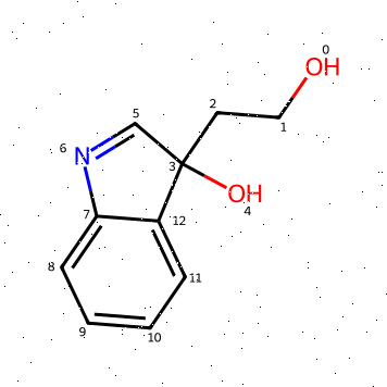 OCCC1(O)C=Nc2ccccc21